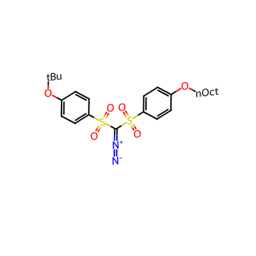 CCCCCCCCOc1ccc(S(=O)(=O)C(=[N+]=[N-])S(=O)(=O)c2ccc(OC(C)(C)C)cc2)cc1